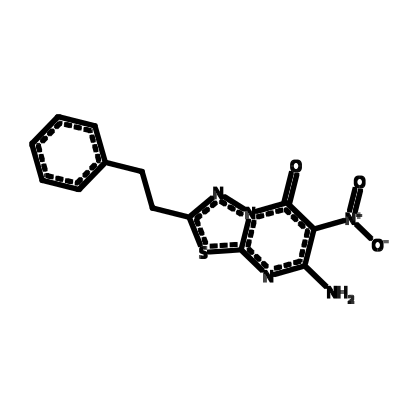 Nc1nc2sc(CCc3ccccc3)nn2c(=O)c1[N+](=O)[O-]